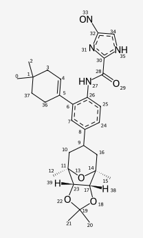 CC1(C)CC=C(c2cc(C3C[C@@]4(C)O[C@@](C)(C3)[C@@H]3OC(C)(C)O[C@@H]34)ccc2NC(=O)c2nc(N=O)c[nH]2)CC1